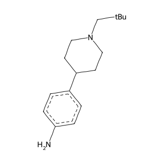 CC(C)(C)CN1CCC(c2ccc(N)cc2)CC1